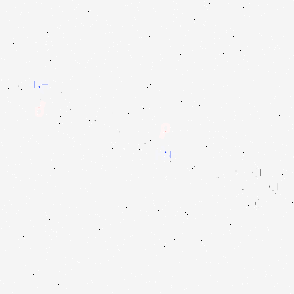 CNC(=O)CCCCCCCCC(=O)NCCCCCCC(C)(C)C